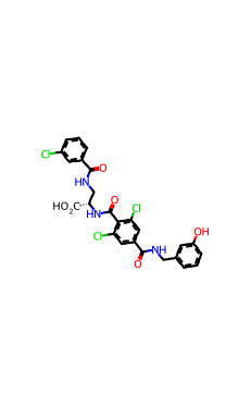 O=C(NCc1cccc(O)c1)c1cc(Cl)c(C(=O)N[C@@H](CNC(=O)c2cccc(Cl)c2)C(=O)O)c(Cl)c1